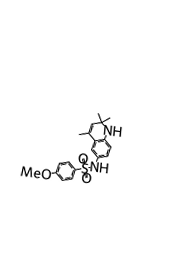 COc1ccc(S(=O)(=O)Nc2ccc3c(c2)C(C)=CC(C)(C)N3)cc1